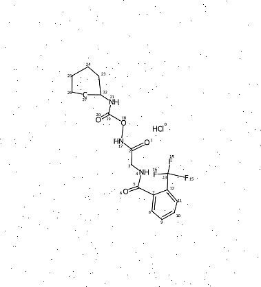 Cl.O=C(CNC(=O)c1ccccc1C(F)(F)F)NOC(=O)NC1CCCCC1